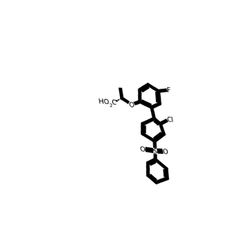 C[C@H](Oc1ccc(F)cc1-c1ccc(S(=O)(=O)c2ccccc2)cc1Cl)C(=O)O